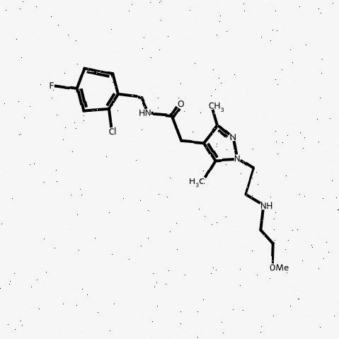 COCCNCCn1nc(C)c(CC(=O)NCc2ccc(F)cc2Cl)c1C